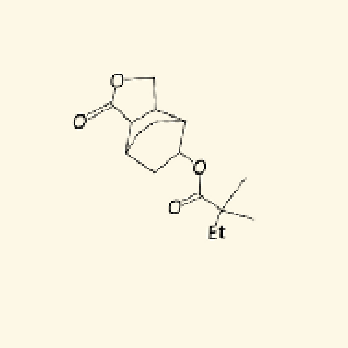 CCC(C)(C)C(=O)OC1CC2CCC1C1COC(=O)C21